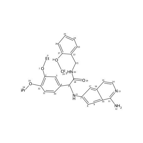 CCOc1cc(C(Nc2ccc3c(N)nccc3c2)C(=O)NCc2ccccc2OC(F)(F)F)ccc1OC(C)C